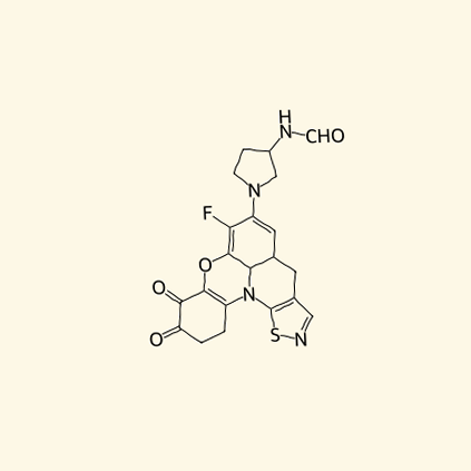 O=CNC1CCN(C2=CC3Cc4cnsc4N4C5=C(OC(=C2F)C34)C(=O)C(=O)CC5)C1